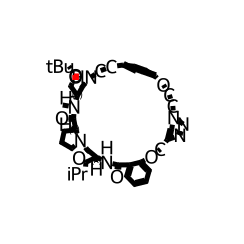 CC(C)C[C@H]1NC(=O)c2ccccc2OCc2cn(nn2)CCOc2ccc(cc2)CCNC(=O)[C@H](COC(C)(C)C)N(C)C(=O)[C@H]2CCCN2C1=O